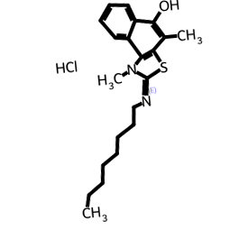 CCCCCCCC/N=c1/sc2c(C)c(O)c3ccccc3c2n1C.Cl